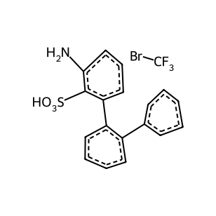 FC(F)(F)Br.Nc1cccc(-c2ccccc2-c2ccccc2)c1S(=O)(=O)O